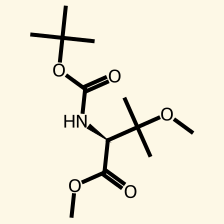 COC(=O)[C@@H](NC(=O)OC(C)(C)C)C(C)(C)OC